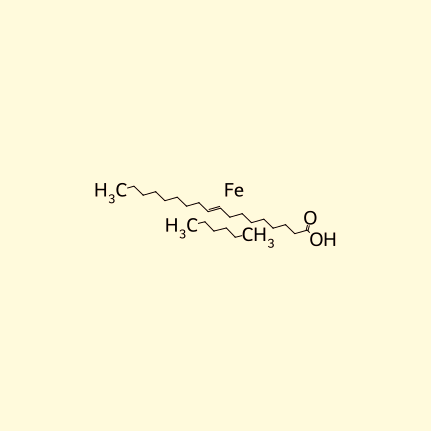 CCCCCC.CCCCCCCCC=CCCCCCCCC(=O)O.[Fe]